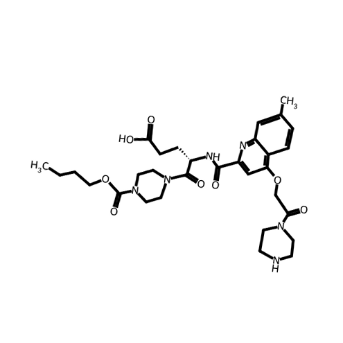 CCCCOC(=O)N1CCN(C(=O)[C@H](CCC(=O)O)NC(=O)c2cc(OCC(=O)N3CCNCC3)c3ccc(C)cc3n2)CC1